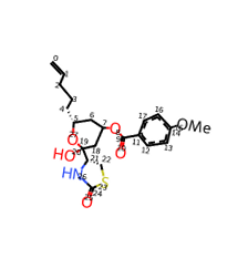 C=CCCC[C@@H]1CC(OC(=O)c2ccc(OC)cc2)C[C@](O)([C@@H]2CSC(=O)N2)O1